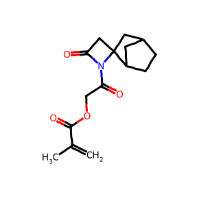 C=C(C)C(=O)OCC(=O)N1C(=O)CC12CC1CCC2C1